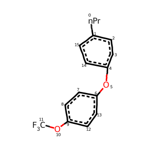 [CH2]CCc1ccc(Oc2ccc(OC(F)(F)F)cc2)cc1